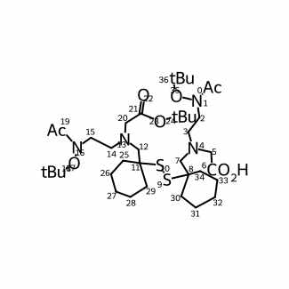 CC(=O)N(CCN(CC(=O)O)CC1(SSC2(CN(CCN(OC(C)(C)C)C(C)=O)CC(=O)OC(C)(C)C)CCCCC2)CCCCC1)OC(C)(C)C